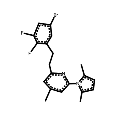 Cc1cc(CCc2cc(Br)cc(F)c2F)nc(-n2c(C)ccc2C)c1